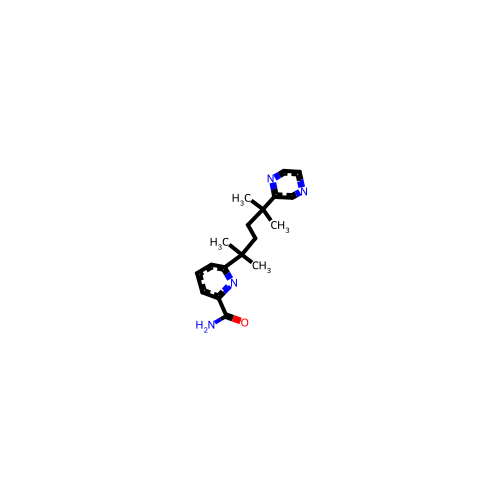 CC(C)(CCC(C)(C)c1cccc(C(N)=O)n1)c1cnccn1